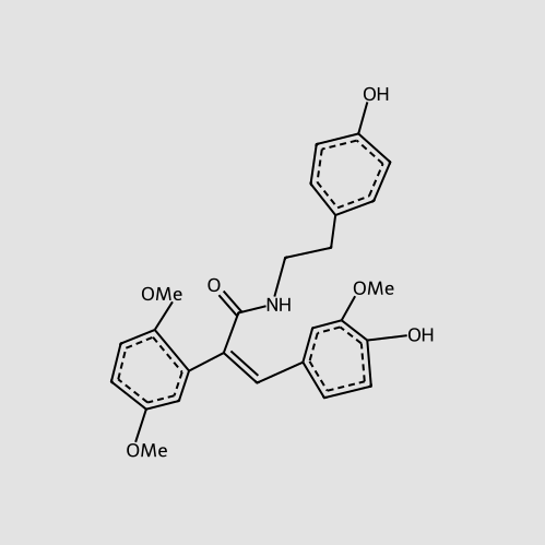 COc1ccc(OC)c(C(=Cc2ccc(O)c(OC)c2)C(=O)NCCc2ccc(O)cc2)c1